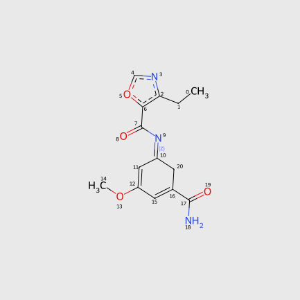 CCc1ncoc1C(=O)/N=C1\C=C(OC)C=C(C(N)=O)C1